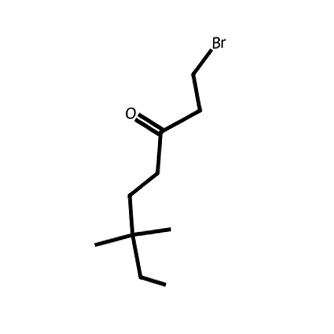 CCC(C)(C)CCC(=O)CCBr